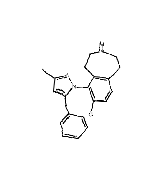 Cc1cc(-c2ccccc2)n(-c2c(Cl)ccc3c2CCNCC3)n1